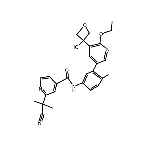 CCOc1ncc(-c2cc(NC(=O)c3ccnc(C(C)(C)C#N)c3)ccc2C)cc1C1(O)COC1